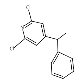 CC(c1ccccc1)c1cc(Cl)nc(Cl)c1